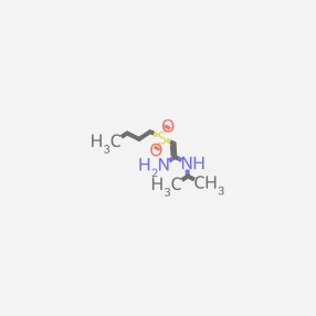 CCCCS(=O)(=O)/C=C(\N)NC(C)C